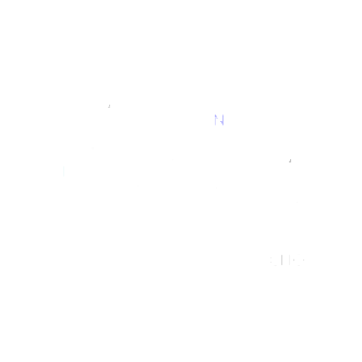 Cn1c2ccc(F)cc2c2cc(C=O)ccc21